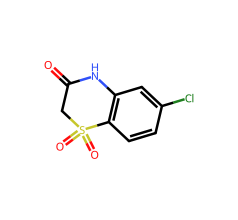 O=C1CS(=O)(=O)c2ccc(Cl)cc2N1